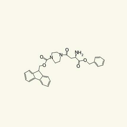 N[C@H](CC(=O)N1CCN(C(=O)OCC2c3ccccc3-c3ccccc32)CC1)C(=O)OCc1ccccc1